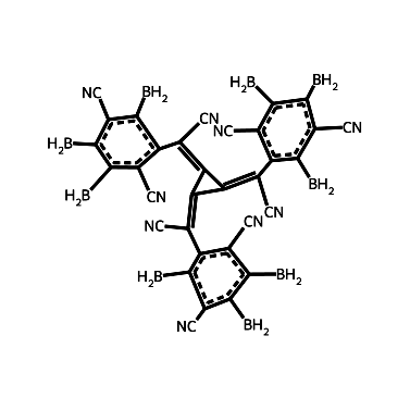 Bc1c(B)c(C#N)c(C(C#N)=C2C(=C(C#N)c3c(B)c(C#N)c(B)c(B)c3C#N)C2=C(C#N)c2c(B)c(C#N)c(B)c(B)c2C#N)c(B)c1C#N